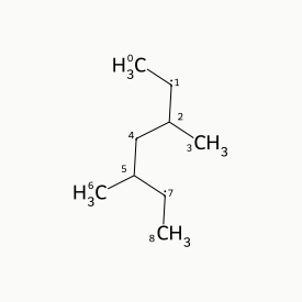 C[CH]C(C)CC(C)[CH]C